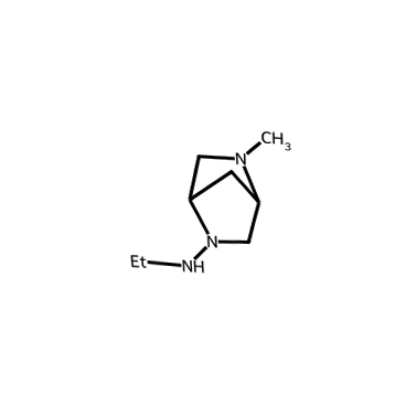 CCNN1CC2CC1CN2C